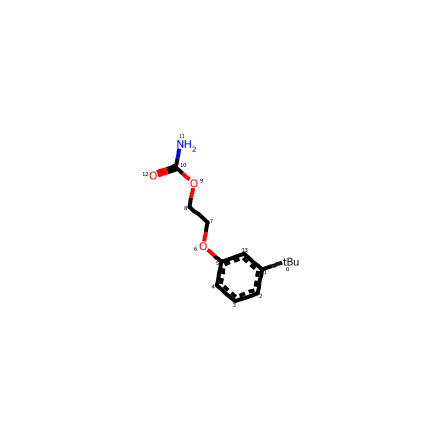 CC(C)(C)c1cccc(OCCOC(N)=O)c1